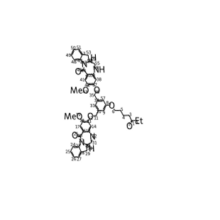 CCC(=O)CCCCOc1cc(COc2cc3c(cc2OC)C(=O)N2c4ccccc4C[C@H]2C=N3)cc(COc2cc3c(cc2OC)C(=O)N2c4ccccc4C[C@H]2CN3)c1